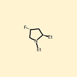 CC[C@@H]1C[C@@H](F)CN1CC